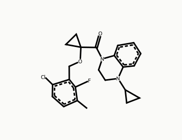 Cc1ccc(Cl)c(COC2(C(=O)N3CCN(C4CC4)c4ccccc43)CC2)c1F